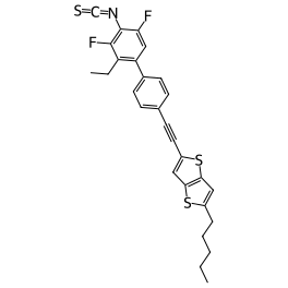 CCCCCc1cc2sc(C#Cc3ccc(-c4cc(F)c(N=C=S)c(F)c4CC)cc3)cc2s1